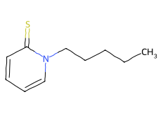 CCCCCn1ccccc1=S